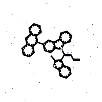 C=C/C=C(\c1c(C)sc2ccccc12)n1c2ccccc2c2cc(-c3c4ccccc4cc4ccccc34)ccc21